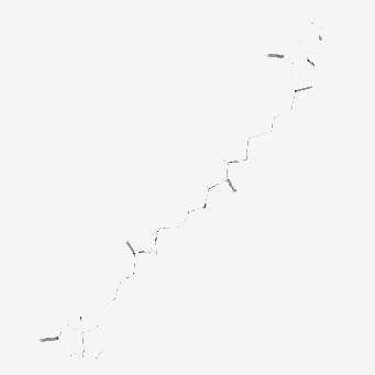 O=C(CCCCCNC(=O)CCCC[C@@H]1SC[C@@H]2NC(=O)N[C@@H]21)NCCCCCC(=O)ON1C(=O)CC(S(=O)(=O)O)C1=O